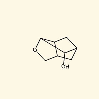 OC1C2CC3COC1C3C2